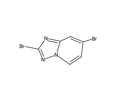 Brc1ccn2nc(Br)nc2c1